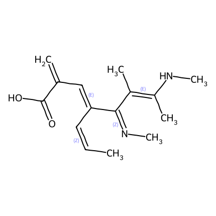 C=C(/C=C(\C=C/C)C(=N/C)/C(C)=C(\C)NC)C(=O)O